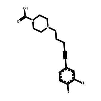 O=C(O)N1CCN(CCCC#Cc2ccc(F)c(Cl)c2)CC1